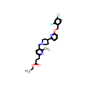 CCOC(=O)CCc1ccc(CN2CCC(c3cccc(OCc4ccc(Cl)cc4F)n3)CC2)c(C)n1